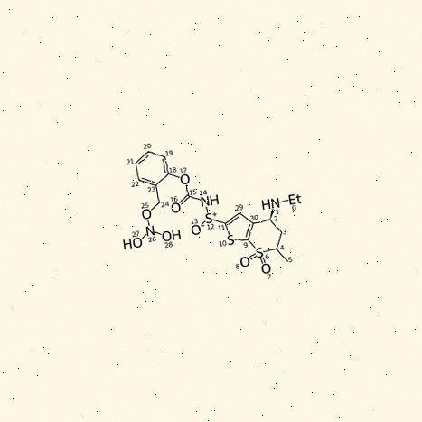 CCN[C@H]1CC(C)S(=O)(=O)c2sc([S+]([O-])NC(=O)Oc3ccccc3CON(O)O)cc21